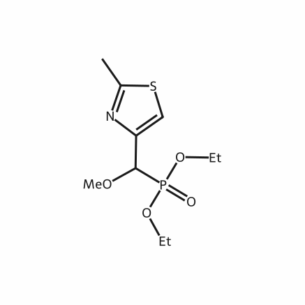 CCOP(=O)(OCC)C(OC)c1csc(C)n1